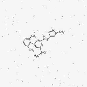 Cc1cccc(C)c1-c1cc([S+](C)[O-])nc(NSc2cnn(C)c2)n1